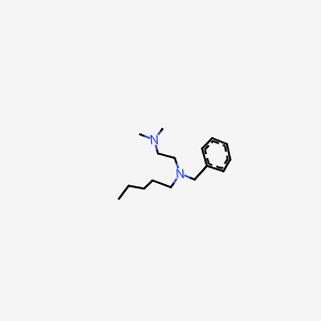 CCCCCN(CCN(C)C)Cc1ccccc1